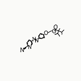 CC(C)C(C)(C(=O)OCCOc1ccc(/N=N/c2ccc(C#N)nc2)cc1)C(C)C